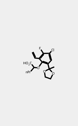 C=Cc1c(F)c(Cl)cc(C2(C)OCCO2)c1OC(CCC)C(=O)O